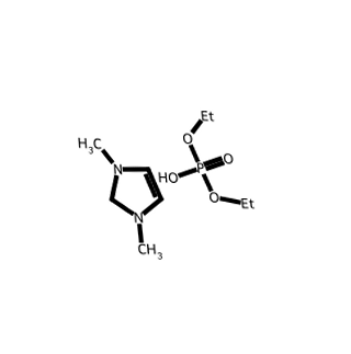 CCOP(=O)(O)OCC.CN1C=CN(C)C1